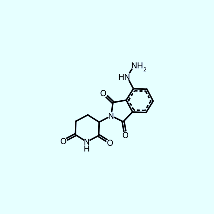 NNc1cccc2c1C(=O)N(C1CCC(=O)NC1=O)C2=O